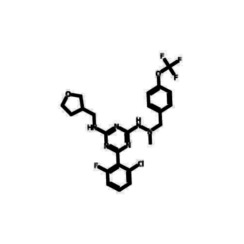 CN(Cc1ccc(OC(F)(F)F)cc1)Nc1nc(NCC2CCOC2)nc(-c2c(F)cccc2Cl)n1